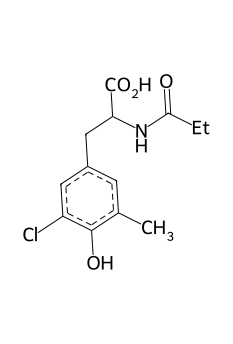 CCC(=O)NC(Cc1cc(C)c(O)c(Cl)c1)C(=O)O